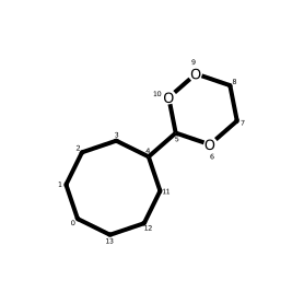 C1CCCC(C2OCCOO2)CCC1